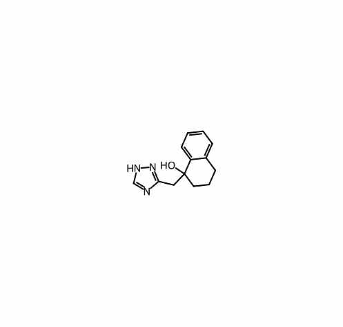 OC1(Cc2nc[nH]n2)CCCc2ccccc21